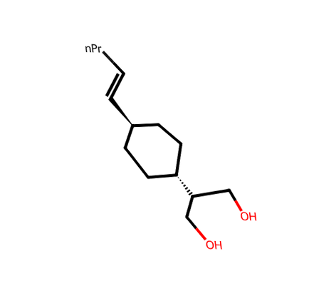 CCCC=C[C@H]1CC[C@H](C(CO)CO)CC1